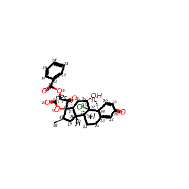 CCCC(=O)O[C@]1(C(=O)COC(=O)c2ccccc2)[C@H](C)C[C@H]2[C@@H]3CCC4=CC(=O)C=C[C@]4(C)[C@@]3(Cl)[C@@H](O)C[C@@]21C